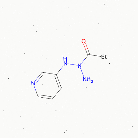 CCC(=O)N(N)Nc1cccnc1